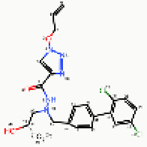 C=CCOn1cc(C(=O)NN(Cc2ccc(-c3cc(Cl)ccc3Cl)cc2)C[C@@H](O)C(=O)OCC)nn1